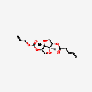 C=CCCC(=O)O[C@H]1CO[C@H]2[C@@H]1OC[C@H]2OC(=O)OCC=C